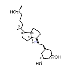 C[C@H](O)CCC[C@H](C)[C@H]1CC[C@H]2/C(=C/C=C3C[C@@H](O)C[C@H](O)C3)CCC[C@]12C